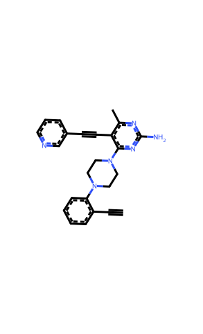 C#Cc1ccccc1N1CCN(c2nc(N)nc(C)c2C#Cc2cccnc2)CC1